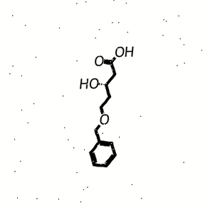 O=C(O)C[C@@H](O)CCOCc1ccccc1